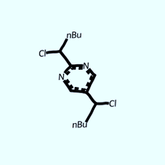 CCCCC(Cl)c1cnc(C(Cl)CCCC)nc1